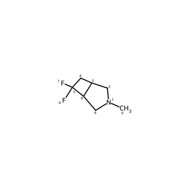 CN1CC2CC(F)(F)C2C1